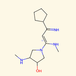 CN/C(=C\C(=N)C1CCCC1)N1CC(O)C(NC)C1